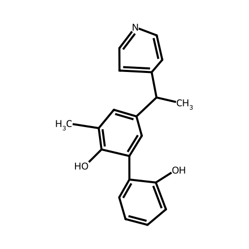 Cc1cc(C(C)c2ccncc2)cc(-c2ccccc2O)c1O